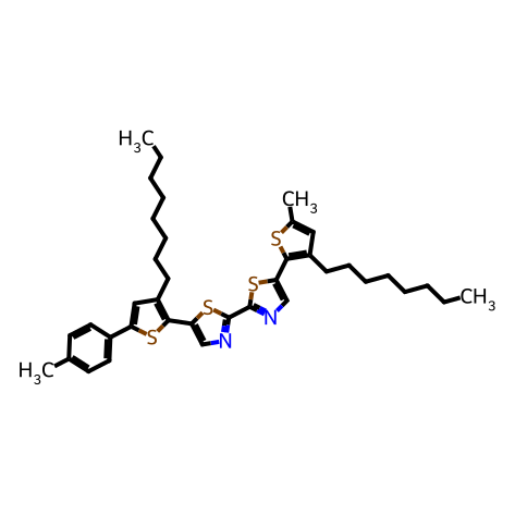 CCCCCCCCc1cc(C)sc1-c1cnc(-c2ncc(-c3sc(-c4ccc(C)cc4)cc3CCCCCCCC)s2)s1